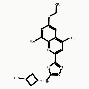 Cc1cc(-c2nnc(N[C@H]3C[C@H](O)C3)o2)nc2c(C(C)(C)C)cc(OCC(F)(F)F)cc12